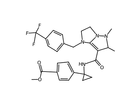 COC(=O)c1ccc(C2(NC(=O)C3=C4N(Cc5ccc(C(F)(F)F)cc5)CCN4N(C)C3C)CC2)cc1